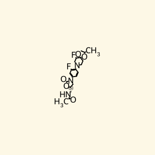 CC(=O)NC[C@H]1CN(c2ccc(N3CCC4(OCC(C)O4)C(F)C3)c(F)c2)C(=O)O1